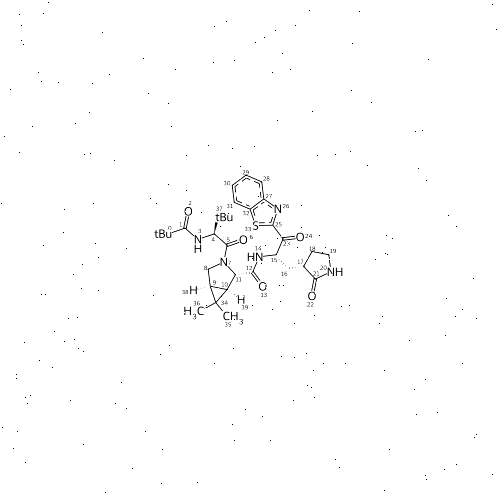 CC(C)(C)C(=O)N[C@H](C(=O)N1C[C@H]2[C@@H]([C@H]1C(=O)N[C@@H](C[C@@H]1CCNC1=O)C(=O)c1nc3ccccc3s1)C2(C)C)C(C)(C)C